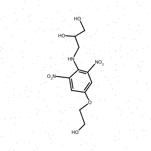 O=[N+]([O-])c1cc(OCCO)cc([N+](=O)[O-])c1NCC(O)CO